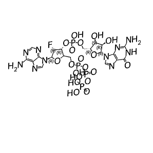 Nc1nc2c(ncn2[C@@H]2O[C@H](COP(=O)(O)O[C@@H]3C(COP(=O)(O)OP(=O)(O)OP(=O)(O)O)O[C@@H](n4cnc5c(N)ncnc54)[C@@H]3F)[C@@H](O)[C@H]2O)c(=O)[nH]1